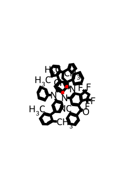 C/C=C\c1c(C[C@@H](C)C2=CC=CC2)c2ccccc2n1-c1c(N2c3ccc(-c4c(C)cccc4C)cc3N(c3ccccc3)c3cc(-c4c(C)cccc4C)ccc32)c(C#N)c(C(=O)c2ccccc2)c2c1C(F)(F)CC2(F)F